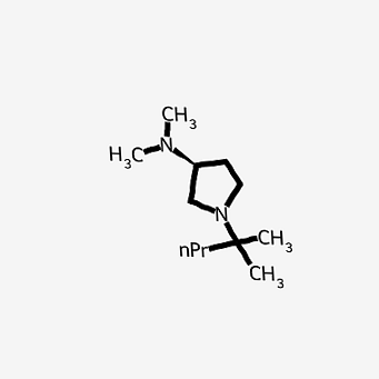 CCCC(C)(C)N1CC[C@H](N(C)C)C1